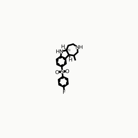 CC1CNCC[C@@H]2Nc3ccc(S(=O)(=O)c4ccc(F)cc4)cc3[C@@H]12